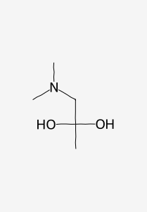 CN(C)CC(C)(O)O